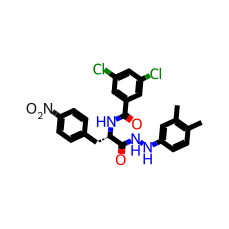 Cc1ccc(NNC(=O)[C@H](Cc2ccc([N+](=O)[O-])cc2)NC(=O)c2cc(Cl)cc(Cl)c2)cc1C